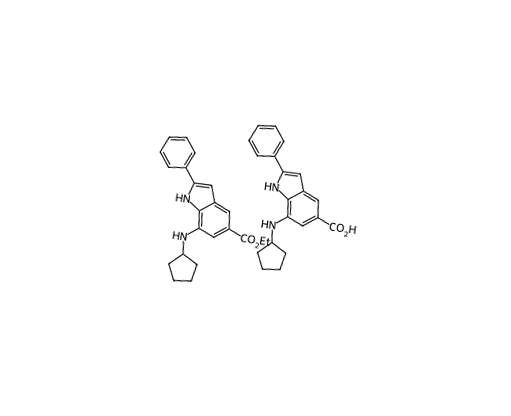 CCOC(=O)c1cc(NC2CCCC2)c2[nH]c(-c3ccccc3)cc2c1.O=C(O)c1cc(NC2CCCC2)c2[nH]c(-c3ccccc3)cc2c1